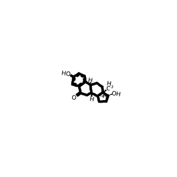 C[C@]12CC[C@@H]3c4ccc(O)cc4C(=O)C[C@H]3[C@@H]1CC[C@H]2O